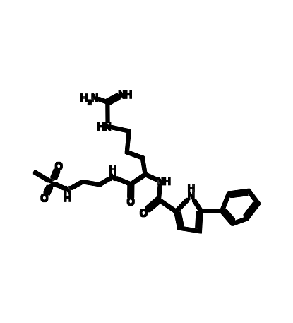 CS(=O)(=O)NCCNC(=O)C(CCCNC(=N)N)NC(=O)c1ccc(-c2ccccc2)[nH]1